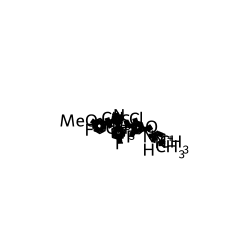 COc1cc(C(C)(C)c2cnc(SCc3c(F)cc(C(=O)NC4CC[N+](C)(C)C4)cc3Cl)n2-c2ccc(F)cc2)ccc1F